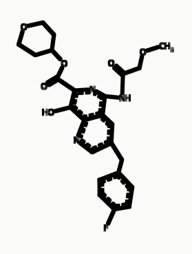 COCC(=O)Nc1nc(C(=O)OC2CCOCC2)c(O)c2ncc(Cc3ccc(F)cc3)cc12